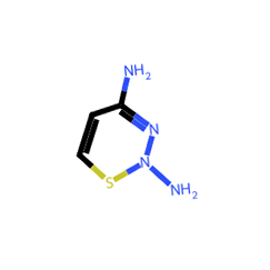 NC1=NN(N)SC=C1